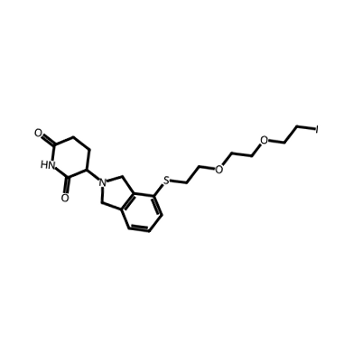 O=C1CCC(N2Cc3cccc(SCCOCCOCCI)c3C2)C(=O)N1